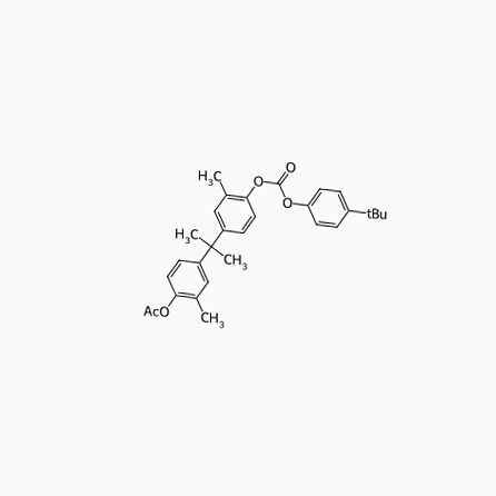 CC(=O)Oc1ccc(C(C)(C)c2ccc(OC(=O)Oc3ccc(C(C)(C)C)cc3)c(C)c2)cc1C